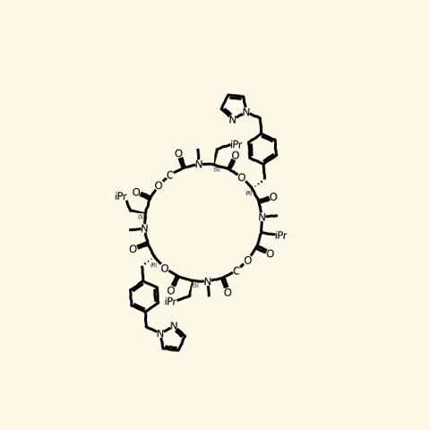 CC(C)C[C@H]1C(=O)O[C@H](Cc2ccc(Cn3cccn3)cc2)C(=O)N(C)C(C(C)C)C(=O)OCC(=O)N(C)[C@@H](CC(C)C)C(=O)O[C@H](Cc2ccc(Cn3cccn3)cc2)C(=O)N(C)[C@@H](CC(C)C)C(=O)OCC(=O)N1C